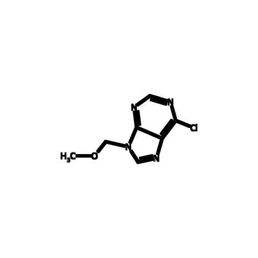 COCn1cnc2c(Cl)ncnc21